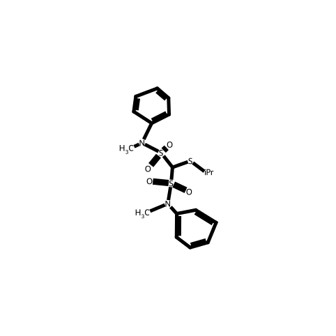 CC(C)SC(S(=O)(=O)N(C)c1ccccc1)S(=O)(=O)N(C)c1ccccc1